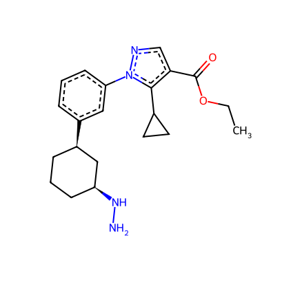 CCOC(=O)c1cnn(-c2cccc([C@@H]3CCC[C@H](NN)C3)c2)c1C1CC1